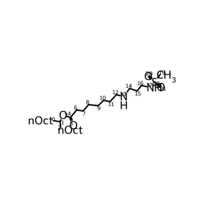 CCCCCCCCC(CCCCCCCC)OC(=O)CCCCCCCNCCCNS(C)(=O)=O